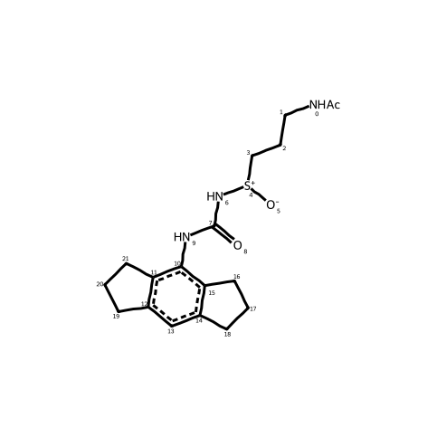 CC(=O)NCCC[S+]([O-])NC(=O)Nc1c2c(cc3c1CCC3)CCC2